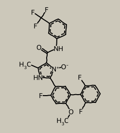 COc1cc(F)c(-c2[nH]c(C)c(C(=O)Nc3cccc(C(F)(F)F)c3)[n+]2[O-])cc1-c1c(F)cccc1F